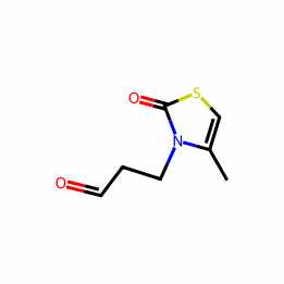 Cc1csc(=O)n1CCC=O